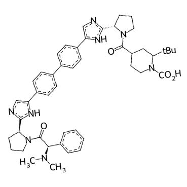 CN(C)[C@@H](C(=O)N1CCC[C@H]1c1ncc(-c2ccc(-c3ccc(-c4cnc([C@@H]5CCCN5C(=O)C5CCN(C(=O)O)C(C(C)(C)C)C5)[nH]4)cc3)cc2)[nH]1)c1ccccc1